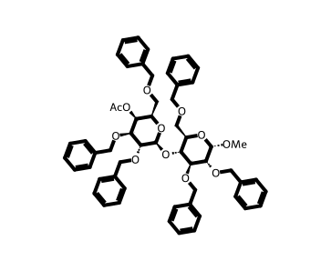 CO[C@H]1O[C@H](COCc2ccccc2)[C@@H](O[C@@H]2O[C@H](COCc3ccccc3)[C@H](OC(C)=O)[C@H](OCc3ccccc3)[C@H]2OCc2ccccc2)[C@H](OCc2ccccc2)[C@H]1OCc1ccccc1